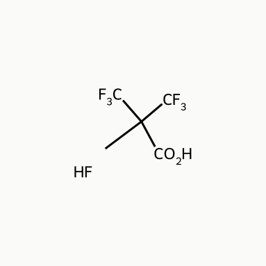 CC(C(=O)O)(C(F)(F)F)C(F)(F)F.F